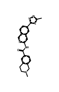 Cc1nnc(-c2ccc3cnc(NC(=O)c4ccc5c(c4)CCN(C)C5)cc3c2)s1